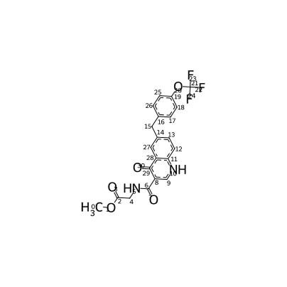 COC(=O)CNC(=O)c1c[nH]c2ccc(Cc3ccc(OC(F)(F)F)cc3)cc2c1=O